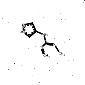 C=N/C(=N\C)Nc1cn[nH]c1